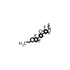 CCCC1CCc2c(cc(F)c(-c3ccc(-c4cc(F)c(N=C=S)c(F)c4)c(C)c3)c2F)C1